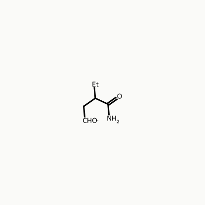 CCC(C[C]=O)C(N)=O